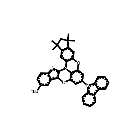 CC(C)(C)c1ccc2sc3c(c2c1)Oc1cc(-n2c4ccccc4c4ccccc42)cc2c1B3c1cc3c(cc1O2)C(C)(C)CC3(C)C